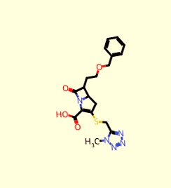 Cn1nnnc1CSC1=C(C(=O)O)N2C(=O)C(CCOCc3ccccc3)C2C1